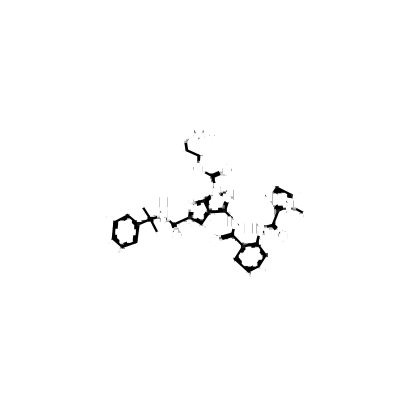 COCCOC(=O)n1nc(NC(=O)c2ccccc2NC(=O)c2nccn2C)c2cc(C(=O)NC(C)(C)c3ccccc3)sc21